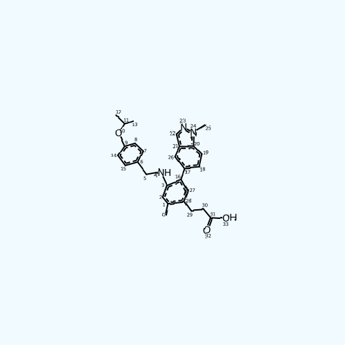 Cc1cc(NCc2ccc(OC(C)C)cc2)c(-c2ccc3c(cnn3C)c2)cc1CCC(=O)O